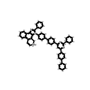 C1=Cc2c(c3c(nc(-c4ccccc4)n3-c3ccc(-c4ccc(-c5cc(-c6ccc(-c7ccccc7)cc6)nc(-c6ccccc6)n5)cc4)cc3)c3ccccc23)CN1